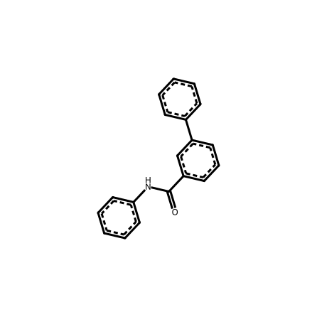 O=C(Nc1ccccc1)c1cccc(-c2ccccc2)c1